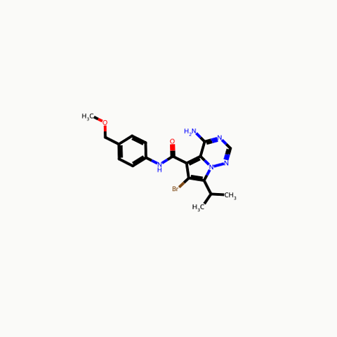 COCc1ccc(NC(=O)c2c(Br)c(C(C)C)n3ncnc(N)c23)cc1